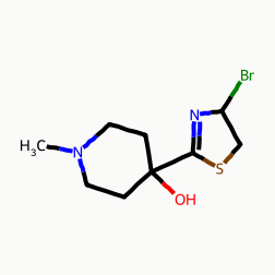 CN1CCC(O)(C2=NC(Br)CS2)CC1